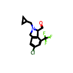 O=CC1c2c(cc(Cl)cc2C(F)(F)F)CN1CC1CC1